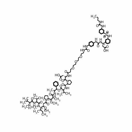 CCCNC(=O)Nc1cccc(S(=O)(=O)Nc2cccc([C@@H](CC(=O)O)NC(=O)Nc3ccc(NC(=O)NCCOCCOCCOCCC(=O)N[C@@H](CC(=O)O)C(=O)N4CCC[C@H]4C(=O)N[C@H](C(=O)O[C@@H](c4ccccc4)[C@@H](C)NC(=O)[C@H](C)[C@@H](OC)[C@@H]4CCCN4C(=O)C[C@@H](OC)[C@H]([C@@H](C)CC)N(C)C(=O)[C@@H](NC(=O)[C@@H](NC)C(C)C)C(C)C)C(C)C)cc3)c2)c1